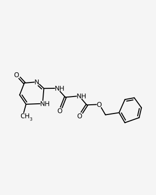 Cc1cc(=O)nc(NC(=O)NC(=O)OCc2ccccc2)[nH]1